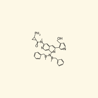 CB(Cc1ccccc1)N(B(C)Cc1ccccc1)c1nc(-c2cnccc2CO)cc2cc(N(C)C(=O)C3CC3P)ncc12